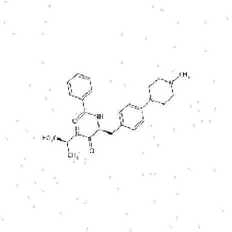 C[C@H](NC(=O)[C@H](Cc1ccc(N2CCN(C)CC2)cc1)NC(=O)c1ccccc1)C(=O)O